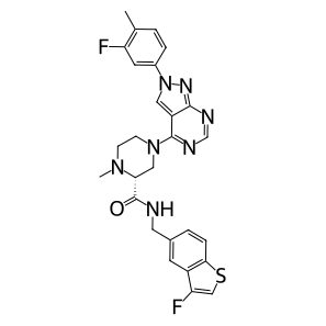 Cc1ccc(-n2cc3c(N4CCN(C)[C@@H](C(=O)NCc5ccc6scc(F)c6c5)C4)ncnc3n2)cc1F